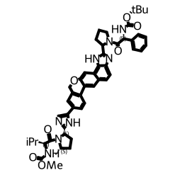 COC(=O)N[C@H](C(=O)N1[C@@H](C)CC[C@H]1c1ncc(-c2ccc3c(c2)COc2cc4c(ccc5nc(C6CCCN6C(=O)[C@H](NC(=O)OC(C)(C)C)c6ccccc6)[nH]c54)cc2-3)[nH]1)C(C)C